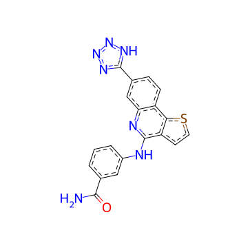 NC(=O)c1cccc(Nc2nc3cc(-c4nnn[nH]4)ccc3c3sccc23)c1